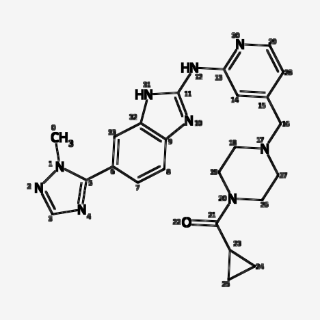 Cn1ncnc1-c1ccc2nc(Nc3cc(CN4CCN(C(=O)C5CC5)CC4)ccn3)[nH]c2c1